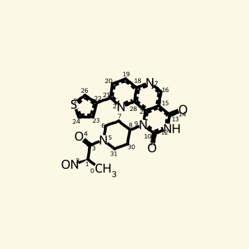 C[C@@H](N=O)C(=O)N1CCC(n2c(=O)[nH]c(=O)c3cnc4ccc(-c5ccsc5)nc4c32)CC1